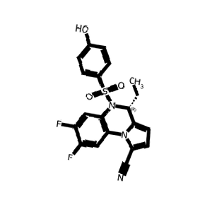 CC[C@@H]1c2ccc(C#N)n2-c2cc(F)c(F)cc2N1S(=O)(=O)c1ccc(O)cc1